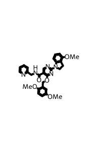 COc1ccc(OC)c(COc2nc(N3CCc4c(OC)cccc43)ncc2C(=O)NCc2ccccn2)c1